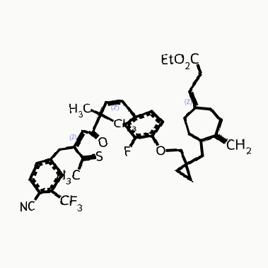 C=C1CC/C(=C\CC(=O)OCC)CCC1CC1(COc2ccc(/C=C\C(C)(C)C(=O)/C=C(/Cc3ccc(C#N)c(C(F)(F)F)c3)C(C)=S)cc2F)CC1